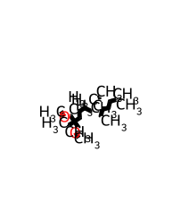 CCC.CCC(C)CC[C](C)C.CCCC(C)CC(COC)(COC)C(C)C